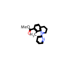 COC(=O)c1ccc2c(c1C)N(c1ccccn1)CCC2